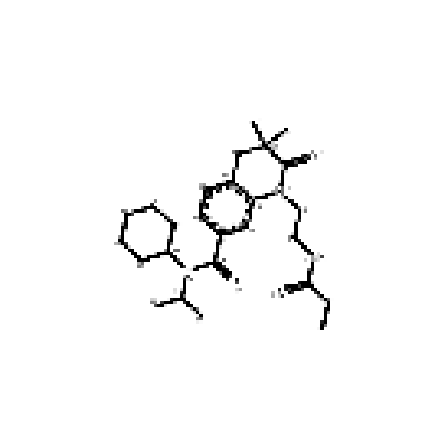 CCC(=O)NCCN1C(=O)C(C)(C)Cc2ccc(C(=O)N(C(C)C)C3CCCCC3)cc21